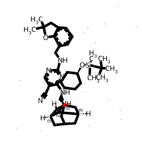 CC1(C)Cc2cccc(CNc3ncc(C#N)c(NC[C@]45CC6C[C@H](C4)[C@@H](NC[C@H]4CC[C@H](O[Si](C)(C)C(C)(C)C)CC4)[C@@H](C6)C5)n3)c2O1